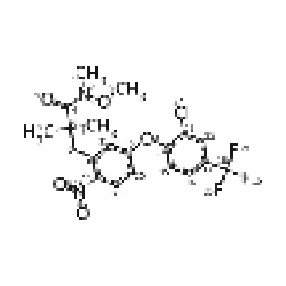 CON(C)C(=O)C(C)(C)Cc1cc(Oc2ccc(C(F)(F)F)cc2Cl)ccc1[N+](=O)[O-]